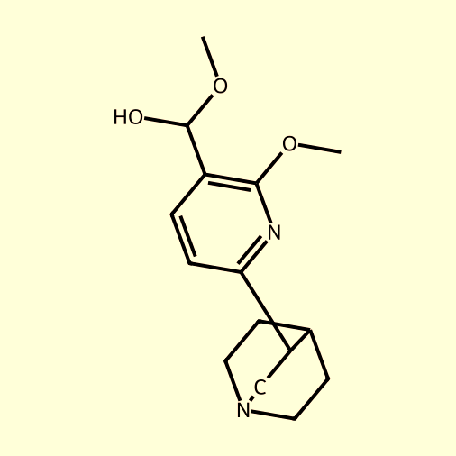 COc1nc(C2CN3CCC2CC3)ccc1C(O)OC